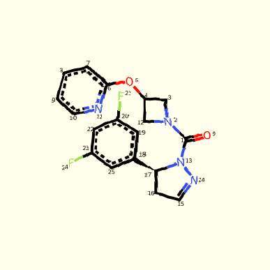 O=C(N1CC(Oc2ccccn2)C1)N1N=CC[C@H]1c1cc(F)cc(F)c1